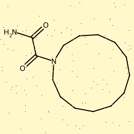 NC(=O)C(=O)N1CCCCCCCCCCCC1